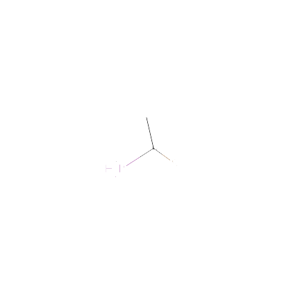 C[C](P)S